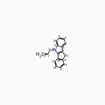 C=CCn1c2c(c3ccccc31)Cc1[c]cccc1-2